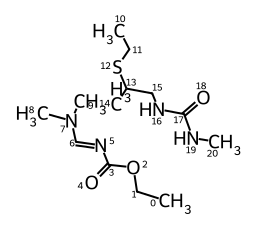 CCOC(=O)N=CN(C)C.CCSC(C)CNC(=O)NC